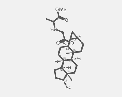 COC(=O)C(C)NCC(=O)O[C@]12CC[C@@]3(C)[C@@H](CC[C@@H]4[C@@H]3CC[C@]3(C)[C@@H](C(C)=O)CC[C@@H]43)C1C2